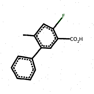 Cc1cc(F)c(C(=O)O)cc1-c1ccccc1